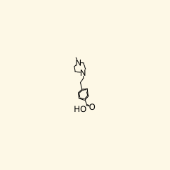 CN1CCN(CCc2ccc(C(=O)O)cc2)CC1